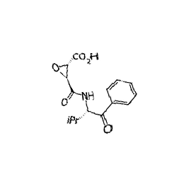 CC(C)[C@H](NC(=O)[C@H]1O[C@@H]1C(=O)O)C(=O)c1ccccc1